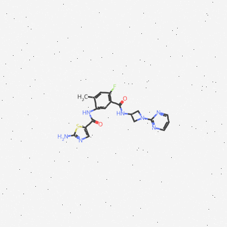 Cc1cc(F)c(C(=O)NC2CN(c3ncccn3)C2)cc1NC(=O)c1cnc(N)s1